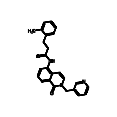 Cc1ccccc1CCC(=O)Nc1cccc2c(=O)n(Cc3cccnc3)ccc12